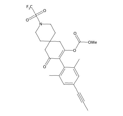 CC#Cc1cc(C)c(C2=C(OC(=O)OC)CC3(CCN(S(=O)(=O)C(F)(F)F)CC3)CC2=O)c(C)c1